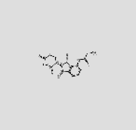 NCC(=O)Nc1cccc2c1C(=O)N(C1CCC(=O)NC1=O)C2=O